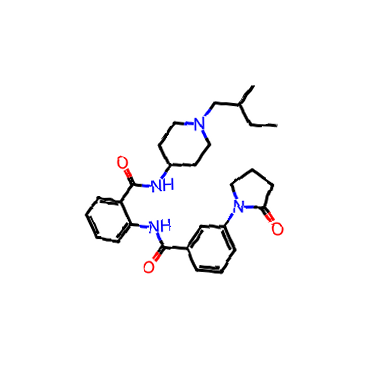 CCC(C)CN1CCC(NC(=O)c2ccccc2NC(=O)c2cccc(N3CCCC3=O)c2)CC1